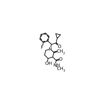 C=C1C(C(=O)NC)C(O)CCN1C(C(=O)C1CC1)c1ccccc1F